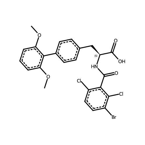 COc1cccc(OC)c1-c1ccc(C[C@H](NC(=O)c2c(Cl)ccc(Br)c2Cl)C(=O)O)cc1